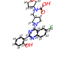 O=C(O)N(C[C@H]1CCN(c2nc(-c3ccccc3O)nc3ccc(F)cc23)C1)[C@H]1CCOC1